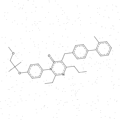 CCCc1nc(CC)n(-c2ccc(OC(C)(C)COC)cc2)c(=O)c1Cc1ccc(-c2ccccc2C)cc1